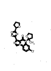 CC1(n2c(=O)c3c(-c4noc(C5CCCO5)n4)ncn3c3ccc(Cl)cc32)CCCO1